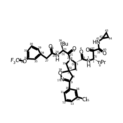 CCC[C@H](NC(=O)[C@@H]1C[C@]2(CC(c3cccc(Cl)c3)=NO2)CN1C(=O)[C@@H](NC(=O)Cc1cccc(OC(F)(F)F)c1)C(C)(C)C)C(=O)C(=O)NC1CC1